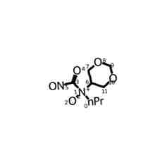 CCC[N+]([O-])(C(=O)N=O)C1COCOC1